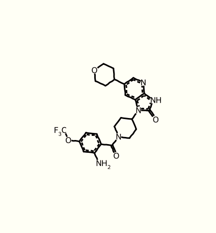 Nc1cc(OC(F)(F)F)ccc1C(=O)N1CCC(n2c(=O)[nH]c3ncc(C4CCOCC4)cc32)CC1